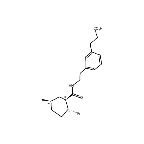 CC(C)[C@@H]1CC[C@@H](C)C[C@H]1C(=O)NCCc1cccc(CCC(=O)O)c1